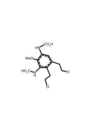 COc1c(NC(=O)O)cc(CCCl)c(CCCl)c1NC(=O)O